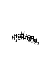 Cc1c(COc2ccc(CNCC(C)(C)O)cc2[N+](=O)[O-])cccc1-c1ccccc1